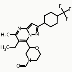 CCc1c(C)nc2cc(C3CCC(C(F)(F)F)CC3)nn2c1C1CN(C=O)CCO1